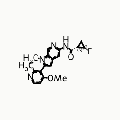 COc1ccnc(C)c1-c1cc2cc(NC(=O)[C@@H]3C[C@@H]3F)ncc2n1C